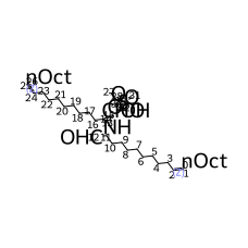 CCCCCCCC/C=C\CCCCCCCCC(C=O)NC(C=O)CCCCCCCC/C=C\CCCCCCCC.COS(=O)(=O)O